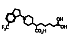 O=C(O)C(CCCCB(O)O)C1CCN(C2CCc3ccc(C(F)(F)F)cc32)CC1